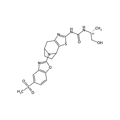 C[C@H](CO)NC(=O)Nc1nc2c(s1)C1CCC(C2)N1c1nc2cc(S(C)(=O)=O)ccc2o1